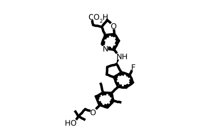 Cc1cc(OCC(C)(C)O)cc(C)c1-c1ccc(F)c2c1CC[C@H]2Nc1cc2c(cn1)C(CC(=O)O)CO2